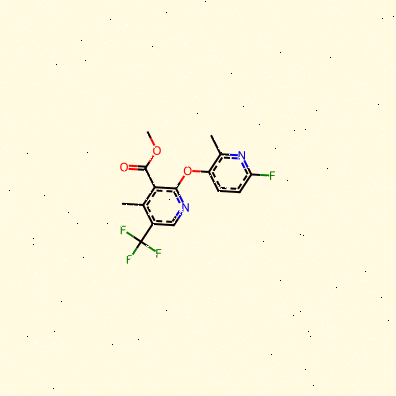 COC(=O)c1c(Oc2ccc(F)nc2C)ncc(C(F)(F)F)c1C